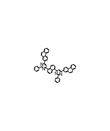 c1ccc(-c2nc(-c3ccc4c(ccc5ccccc54)c3)cc(-c3cccc4c(-c5cc(-c6ccc7c(ccc8ccccc87)c6)nc(-c6ccccc6)n5)cccc34)n2)cc1